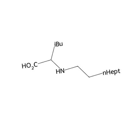 CCCCCCCCCNC(C(=O)O)C(C)CC